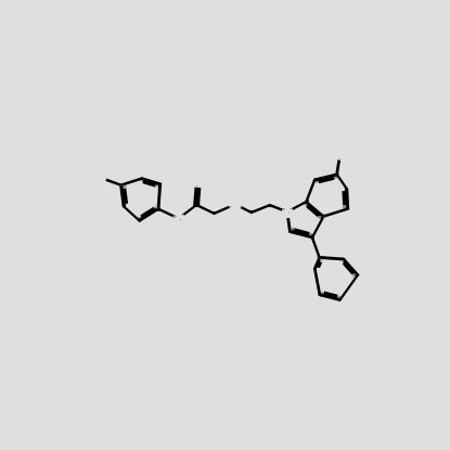 Cc1ccc(NC(=O)COCCn2cc(-c3ccccc3)c3ccc(C(=O)O)cc32)cc1